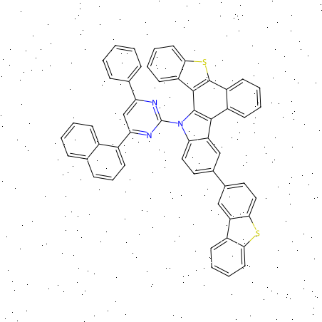 c1ccc(-c2cc(-c3cccc4ccccc34)nc(-n3c4ccc(-c5ccc6sc7ccccc7c6c5)cc4c4c5ccccc5c5sc6ccccc6c5c43)n2)cc1